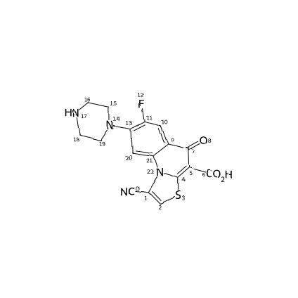 N#Cc1csc2c(C(=O)O)c(=O)c3cc(F)c(N4CCNCC4)cc3n12